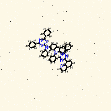 c1ccc(-c2nc(-c3ccccc3-n3c4ccccc4c4ccc5c(c6ccccc6n5-c5nc(-c6ccccc6)nc(-c6ccccc6)n5)c43)nc(-c3cccc4cccnc34)n2)cc1